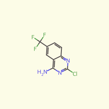 Nc1nc(Cl)nc2ccc(C(F)(F)F)cc12